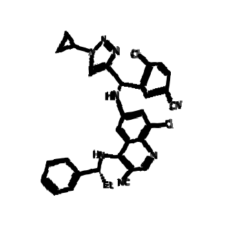 CC[C@@H](Nc1c(C#N)cnc2c(Cl)cc(N[C@H](c3cn(C4CC4)nn3)c3cc(C#N)ccc3Cl)cc12)c1ccccc1